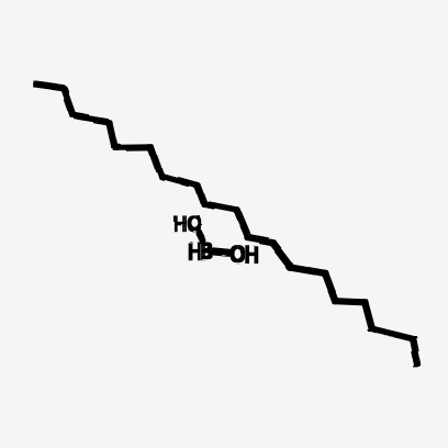 CCCCCCCCCCCCCCCCCCC.OBO